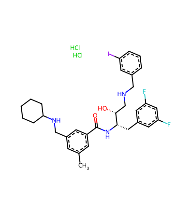 Cc1cc(CNC2CCCCC2)cc(C(=O)N[C@@H](Cc2cc(F)cc(F)c2)[C@H](O)CNCc2cccc(I)c2)c1.Cl.Cl